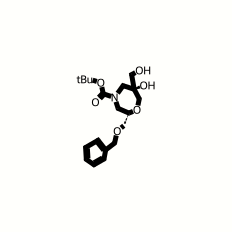 CC(C)(C)OC(=O)N1C[C@@H](COCc2ccccc2)OC[C@@](O)(CO)C1